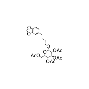 CC(=O)OC[C@H]1O[C@@H](OCCCCc2ccc3c(c2)OCO3)[C@H](OC(C)=O)[C@@H](OC(C)=O)[C@@H]1OC(C)=O